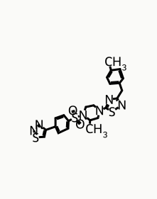 Cc1ccc(Cc2nsc(N3CCN(S(=O)(=O)c4ccc(-c5csnn5)cc4)C(C)C3)n2)cc1